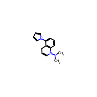 CN(C)N1C=CCc2c1cccc2-n1cccc1